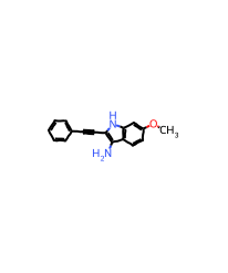 COc1ccc2c(N)c(C#Cc3ccccc3)[nH]c2c1